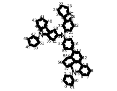 c1ccc(N2c3ccccc3-c3ccc(-c4ccc(N(c5ccc6sc7ccccc7c6c5)c5ccc6c(c5)c5ccccc5n6-c5ccccc5)cc4)c4cccc2c34)cc1